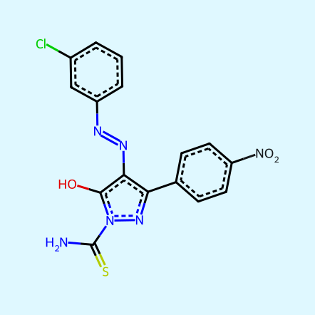 NC(=S)n1nc(-c2ccc([N+](=O)[O-])cc2)c(N=Nc2cccc(Cl)c2)c1O